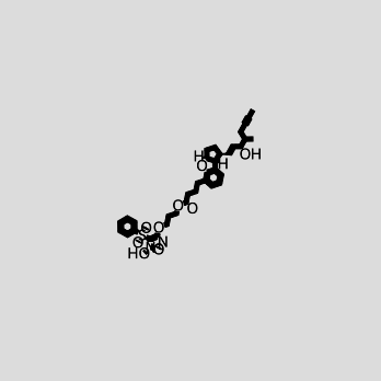 CC#CCC(C)[C@@H](O)/C=C/[C@@H]1CC[C@H]2Oc3c(CCCC(=O)OCCCOc4no[n+](O)c4S(=O)(=O)c4ccccc4)cccc3[C@@H]12